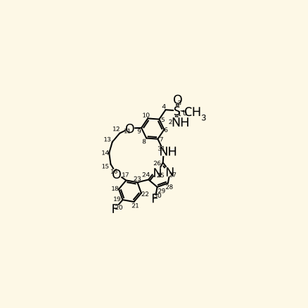 C[S@](=N)(=O)Cc1cc2cc(c1)OCCCCOc1cc(F)ccc1-c1nc(ncc1F)N2